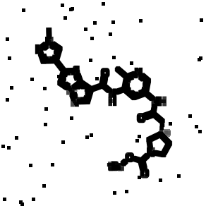 Cc1ncc(NC(=O)C[C@@H]2CCN(C(=O)OC(C)(C)C)C2)cc1NC(=O)c1cnn2cc(-c3cnn(C)c3)sc12